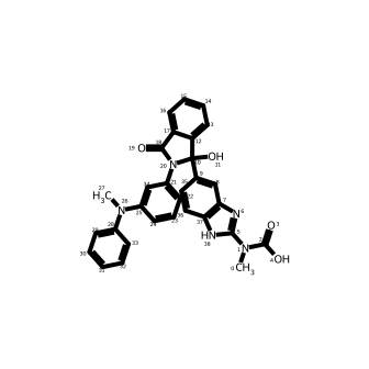 CN(C(=O)O)c1nc2cc(C3(O)c4ccccc4C(=O)N3c3cccc(N(C)c4ccccc4)c3)ccc2[nH]1